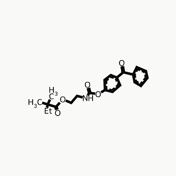 CCC(C)(C)C(=O)OCCNC(=O)Oc1ccc(C(=O)c2ccccc2)cc1